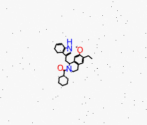 CCc1cc2c(cc1OC)C(Cc1c[nH]c3c1CCC=C3)N(C(=O)C1CCCCC1)CC2